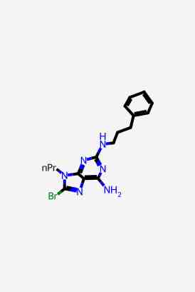 CCCn1c(Br)nc2c(N)nc(NCCCc3ccccc3)nc21